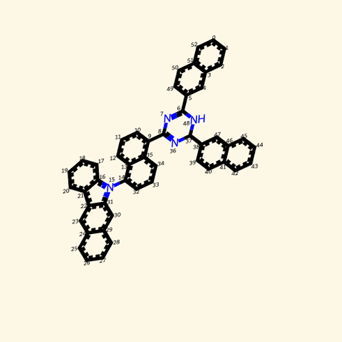 c1ccc2cc(C3=NC(c4cccc5c(-n6c7ccccc7c7cc8ccccc8cc76)cccc45)=NC(c4ccc5ccccc5c4)N3)ccc2c1